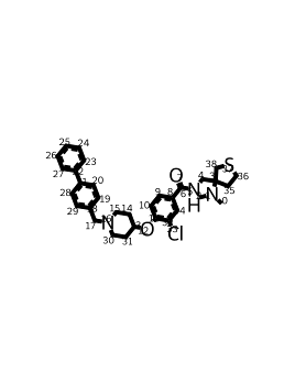 CN(C)C1(CNC(=O)c2ccc(OC3CCN(Cc4ccc(-c5ccccc5)cc4)CC3)c(Cl)c2)CCSC1